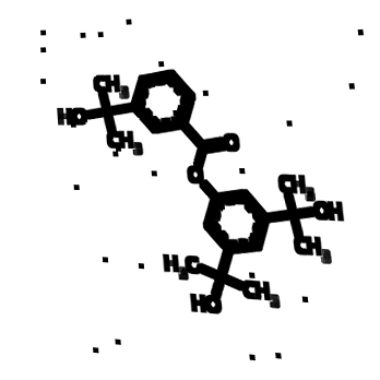 CC(C)(O)c1cccc(C(=O)Oc2cc(C(C)(C)O)cc(C(C)(C)O)c2)c1